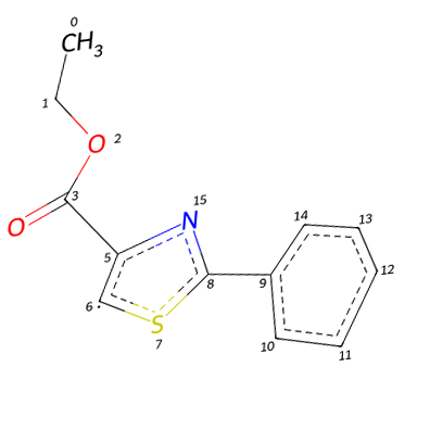 CCOC(=O)c1[c]sc(-c2ccccc2)n1